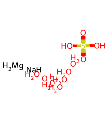 O.O.O.O.O.O.O.O=S(=O)(O)O.[MgH2].[NaH]